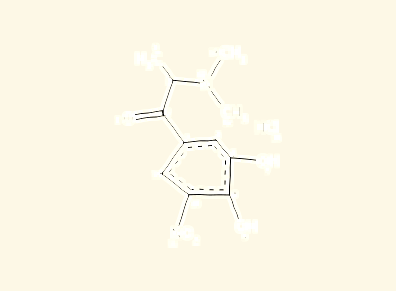 CC(C(=O)c1cc(O)c(O)c([N+](=O)[O-])c1)N(C)C.Cl